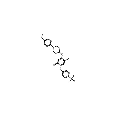 CCc1cnc(N2CCC(Oc3cc(=O)n(Cc4ccc(C(F)(F)F)cc4)cc3Cl)CC2)nc1